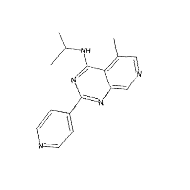 Cc1cncc2nc(-c3ccncc3)nc(NC(C)C)c12